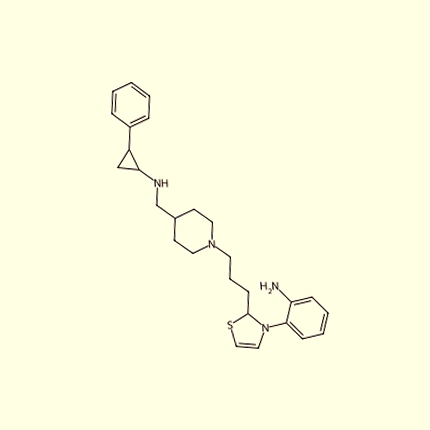 Nc1ccccc1N1C=CSC1CCCN1CCC(CNC2CC2c2ccccc2)CC1